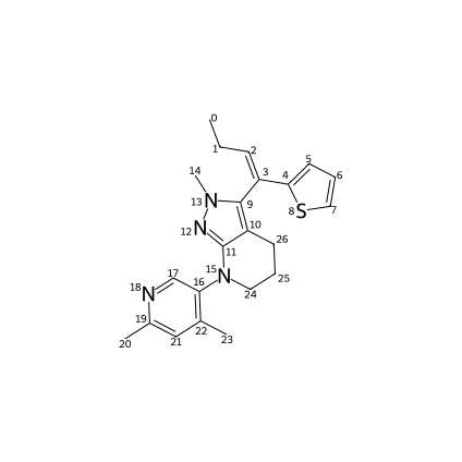 CC/C=C(/c1cccs1)c1c2c(nn1C)N(c1cnc(C)cc1C)CCC2